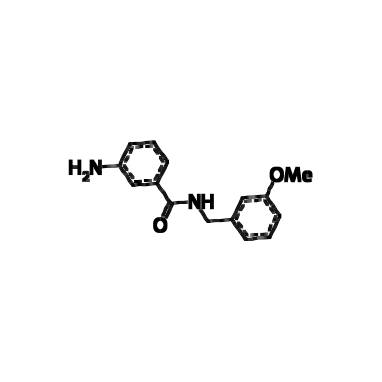 COc1cccc(CNC(=O)c2cccc(N)c2)c1